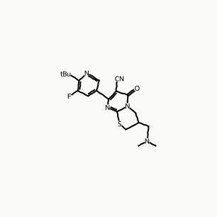 CN(C)CC1CSc2nc(-c3cnc(C(C)(C)C)c(F)c3)c(C#N)c(=O)n2C1